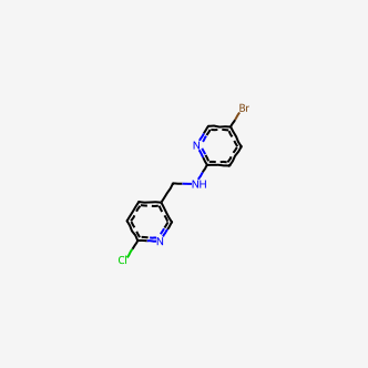 Clc1ccc(CNc2ccc(Br)cn2)cn1